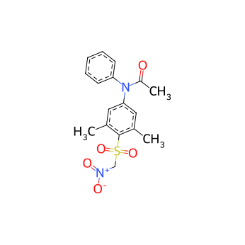 CC(=O)N(c1ccccc1)c1cc(C)c(S(=O)(=O)C[N+](=O)[O-])c(C)c1